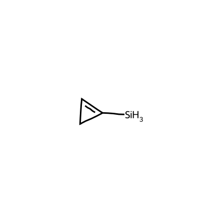 [SiH3]C1=CC1